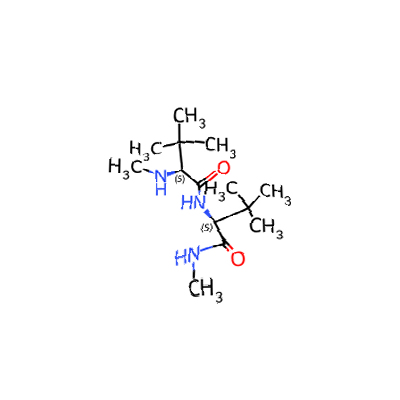 CNC(=O)[C@@H](NC(=O)[C@@H](NC)C(C)(C)C)C(C)(C)C